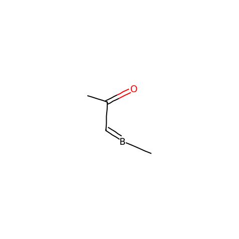 C/B=C\C(C)=O